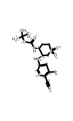 CC(C)(C)OC(=O)N[C@H]1CCS(=O)(=O)C[C@H]1Nc1cnc(C#N)c(Br)c1